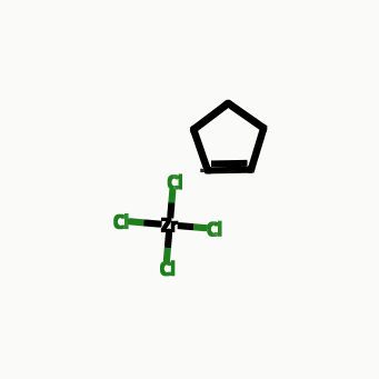 [C]1=CCCC1.[Cl][Zr]([Cl])([Cl])[Cl]